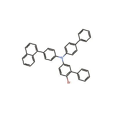 Brc1ccc(N(c2ccc(-c3ccccc3)cc2)c2ccc(-c3cccc4ccccc34)cc2)cc1-c1ccccc1